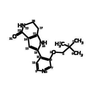 CC(C)(C)COc1cnccc1-c1cc2c([nH]1)CCNC2=O